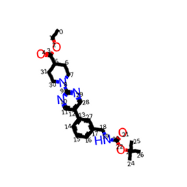 CCOC(=O)C1CCN(c2ncc(-c3cccc(CNC(=O)OC(C)(C)C)c3)cn2)CC1